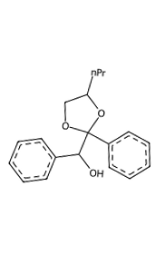 CCCC1COC(c2ccccc2)(C(O)c2ccccc2)O1